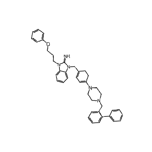 N=c1n(CCCOc2ccccc2)c2ccccc2n1CC1=CC=C(N2CCN(Cc3ccccc3-c3ccccc3)CC2)CC1